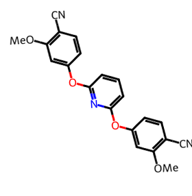 COc1cc(Oc2cccc(Oc3ccc(C#N)c(OC)c3)n2)ccc1C#N